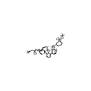 Cc1ccc2c(NC(=O)CC#N)cccc2c1Oc1ncccc1-c1ccnc(NC2CCCN(C(=O)OC(C)(C)C)C2)n1